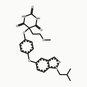 COCCC1(Oc2ccc(Oc3ccc4c(cnn4CC(C)C)c3)cc2)C(=O)NC(=O)NC1=O